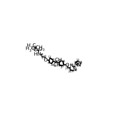 CC(C)(C)OC(=O)NCCCOc1ccc(C(C)(C)c2ccc(OCc3ccnc(-n4ccnn4)n3)cc2)cc1